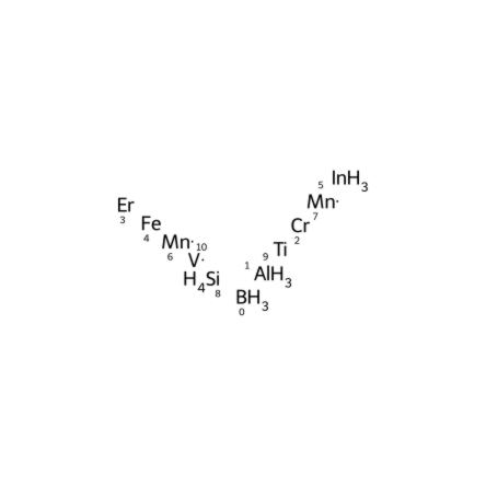 B.[AlH3].[Cr].[Er].[Fe].[InH3].[Mn].[Mn].[SiH4].[Ti].[V]